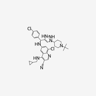 CC(C)(C)N1CCC(N2C=C([C@@H](Nc3cc(Cl)c4ncc(C#N)c(NCC5CC5)c4c3)c3ccc(Cl)cc3)NN2)CC1